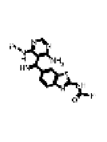 CC(C)Nc1ncnc(N)c1C(=N)c1ccc2nc(NC(=O)C(C)C)sc2c1